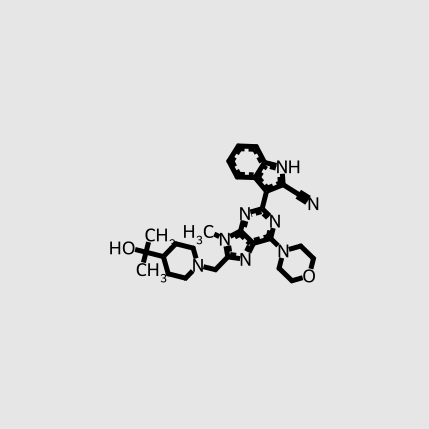 Cn1c(CN2CCC(C(C)(C)O)CC2)nc2c(N3CCOCC3)nc(-c3c(C#N)[nH]c4ccccc34)nc21